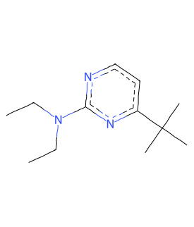 CCN(CC)c1nccc(C(C)(C)C)n1